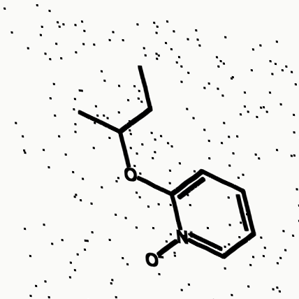 CCC(C)Oc1cccc[n+]1[O-]